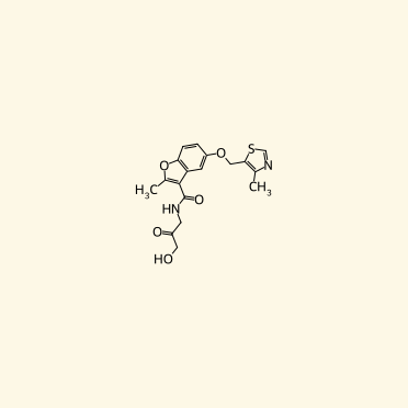 Cc1ncsc1COc1ccc2oc(C)c(C(=O)NCC(=O)CO)c2c1